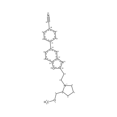 COCC1CCCN1CCc1nc2cc(-c3ccc(C#N)cc3)ccc2o1